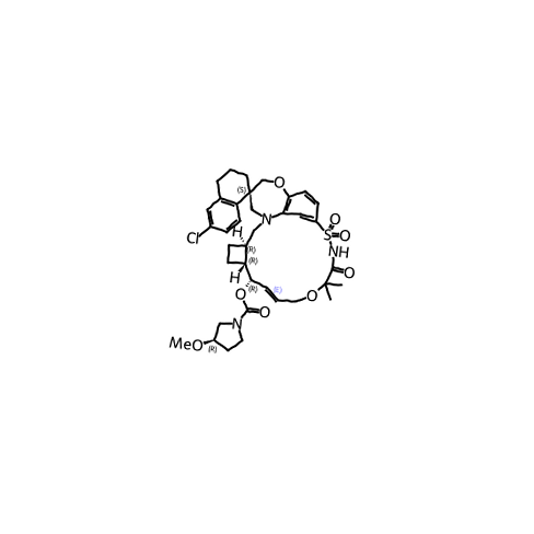 CO[C@@H]1CCN(C(=O)O[C@H]2/C=C/COC(C)(C)C(=O)NS(=O)(=O)c3ccc4c(c3)N(C[C@@H]3CC[C@H]32)C[C@@]2(CCCc3cc(Cl)ccc32)CO4)C1